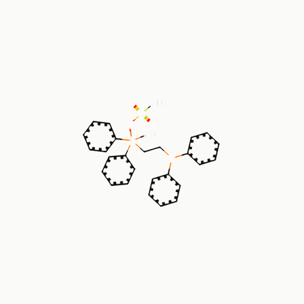 CS(=O)(=O)OP(C)(CCP(c1ccccc1)c1ccccc1)(c1ccccc1)c1ccccc1